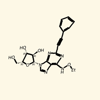 CCONc1nc(C#Cc2ccccc2)nc2c1ncn2[C@@H]1O[C@H](CO)[C@H](O)[C@H]1O